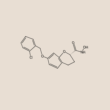 O=C(NO)[C@@H]1CCc2ccc(OCc3ccccc3Cl)cc2O1